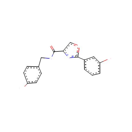 O=C(NCc1ccc(O)cc1)c1coc(-c2cccc(O)c2)n1